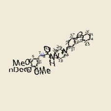 CCCCCCCCCCOc1c(OC)cc(/C=C/C(=O)NN2CCN(c3ccc(Oc4ccccc4)cc3)CC2)cc1OC